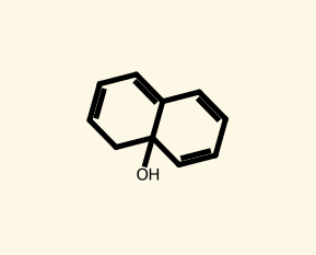 OC12C=CC=CC1=CC=CC2